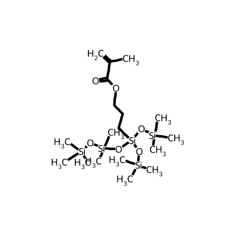 C=C(C)C(=O)OCCC[Si](O[Si](C)(C)C)(O[Si](C)(C)C)O[Si](C)(C)O[Si](C)(C)C